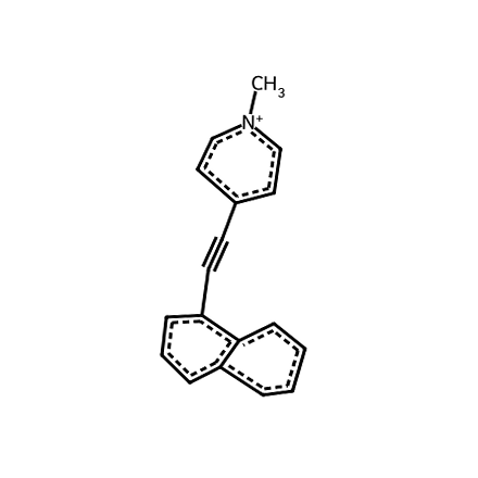 C[n+]1ccc(C#Cc2cccc3ccccc23)cc1